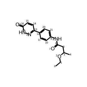 CCOC(C)CC(=O)Nc1ccc(-c2ccc(=O)[nH]n2)cc1